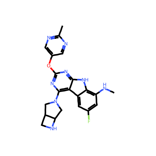 CNc1cc(F)cc2c1[nH]c1nc(Oc3cnc(C)nc3)nc(N3CC4CNC4C3)c12